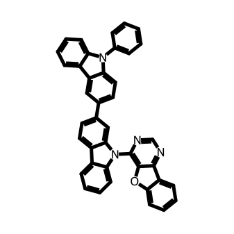 c1ccc(-n2c3ccccc3c3cc(-c4ccc5c6ccccc6n(-c6ncnc7c6oc6ccccc67)c5c4)ccc32)cc1